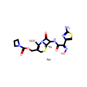 Nc1nc(/C(=N/O)C(=O)NC2C(=O)N3C(C(=O)[O-])=C(COC(=O)N4CCC4)CS[C@H]23)cs1.[Na+]